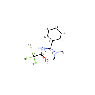 CN(C)C(NC(=O)C(F)(F)F)C1CCCCC1